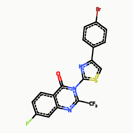 O=c1c2ccc(F)cc2nc(C(F)(F)F)n1-c1nc(-c2ccc(Br)cc2)cs1